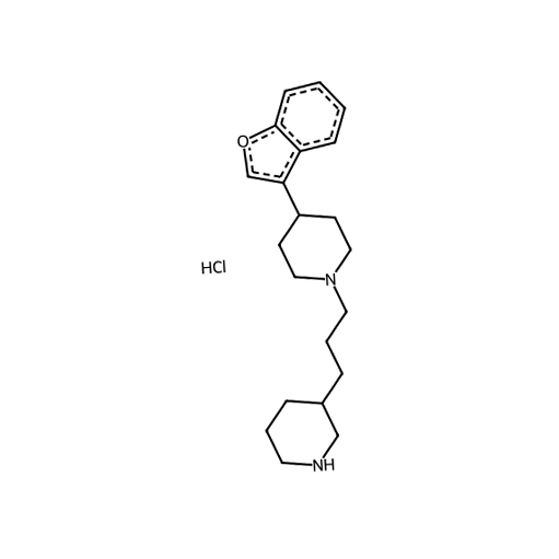 Cl.c1ccc2c(C3CCN(CCCC4CCCNC4)CC3)coc2c1